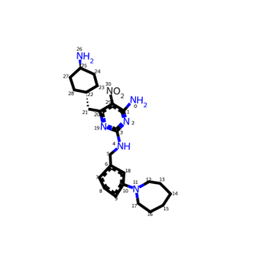 Nc1nc(NCc2cccc(N3CCCCCC3)c2)nc(C[C@H]2CC[C@H](N)CC2)c1[N+](=O)[O-]